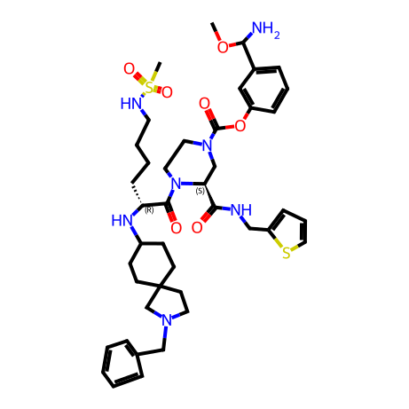 COC(N)c1cccc(OC(=O)N2CCN(C(=O)[C@@H](CCCCNS(C)(=O)=O)NC3CCC4(CC3)CCN(Cc3ccccc3)C4)[C@H](C(=O)NCc3cccs3)C2)c1